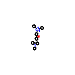 c1ccc(-c2nc(-c3ccccc3)nc(-c3ccc4c(c3)oc3cc(-c5cccc6c5c5ccccc5n6-c5ccccc5)ccc34)n2)cc1